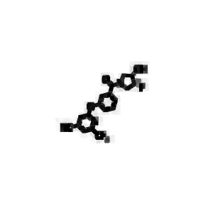 N#Cc1cc(Oc2cccc(C(=O)N3CC(O)[C@H](F)C3)c2)nc(C(F)(F)F)c1